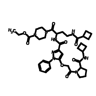 CCOC(=O)N1CCN(C(=O)C(CCNC(=O)C2CCC2)NC(=O)c2cc(OCC(=O)N3CCCC3C(=O)NC3CCC3)n(-c3ccccc3)n2)CC1